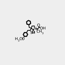 COc1ccc(CC(S)C2(Cc3ccccc3)CCN([C@@H](C)C(=O)O)C2=O)cc1